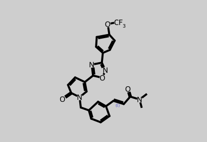 CN(C)C(=O)/C=C/c1cccc(Cn2cc(-c3nc(-c4ccc(OC(F)(F)F)cc4)no3)ccc2=O)c1